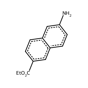 CCOC(=O)c1ccc2cc(N)ccc2c1